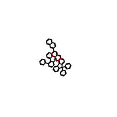 c1ccc(-c2ccccc2-c2c(-c3ccccc3)cccc2N(c2ccc(-c3ccc4ccccc4c3)cc2)c2cccc3c2-c2ccccc2C3(c2ccccc2)c2ccccc2)cc1